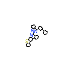 c1ccc(-c2cccc(-c3nc(-c4nc5cc6sc7ccccc7c6cc5c5ccccc45)nc4ccccc34)c2)cc1